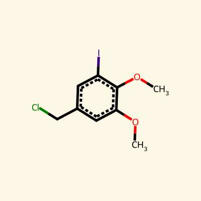 COc1cc(CCl)cc(I)c1OC